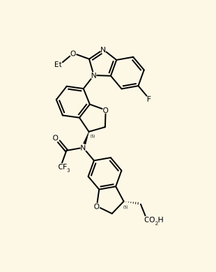 CCOc1nc2ccc(F)cc2n1-c1cccc2c1OC[C@H]2N(C(=O)C(F)(F)F)c1ccc2c(c1)OC[C@H]2CC(=O)O